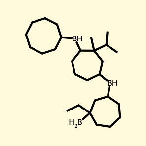 BC1(CC)CCCCC(BC2CCCC(BC3CCCCCCC3)C(C)(C(C)C)C2)C1